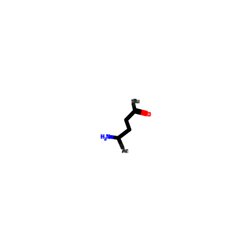 CC(=O)C(N)CCC(=O)C(C)(C)C